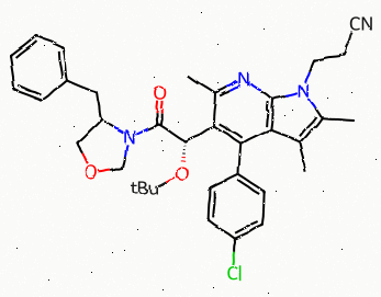 Cc1nc2c(c(C)c(C)n2CCC#N)c(-c2ccc(Cl)cc2)c1[C@H](OC(C)(C)C)C(=O)N1COCC1Cc1ccccc1